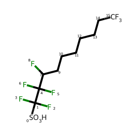 O=S(=O)(O)C(F)(F)C(F)(F)C(F)CCCCCCC(F)(F)F